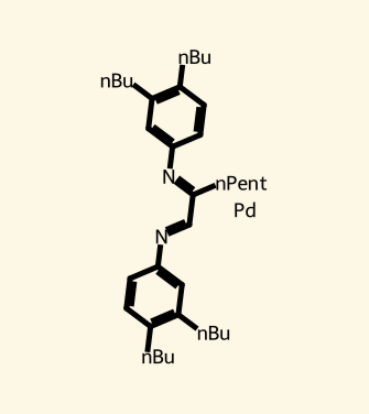 CCCCCC(C=Nc1ccc(CCCC)c(CCCC)c1)=Nc1ccc(CCCC)c(CCCC)c1.[Pd]